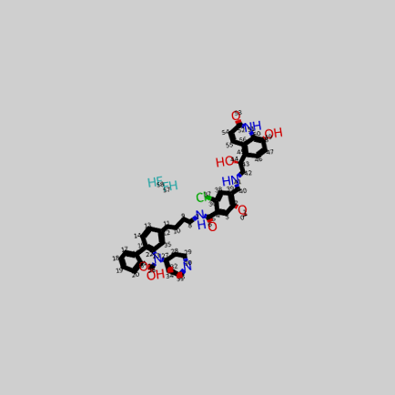 COc1cc(C(=O)NCCCCc2ccc(-c3ccccc3)c(N(C(=O)O)C34CCN(CC3)CC4)c2)c(Cl)cc1CNC[C@@H](O)c1ccc(O)c2[nH]c(=O)ccc12.F.F